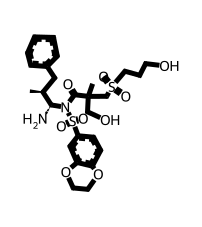 C[C@@H](Cc1ccccc1)[C@@H](N)N(C(=O)C(C)(CO)CS(=O)(=O)CCCO)S(=O)(=O)c1ccc2c(c1)OCCO2